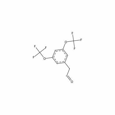 O=[C]Cc1cc(OC(F)(F)F)cc(OC(F)(F)F)c1